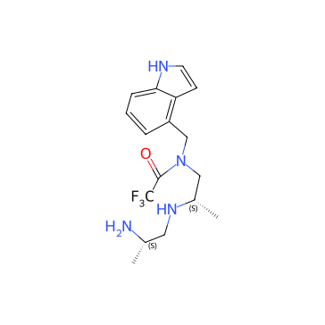 C[C@H](N)CN[C@@H](C)CN(Cc1cccc2[nH]ccc12)C(=O)C(F)(F)F